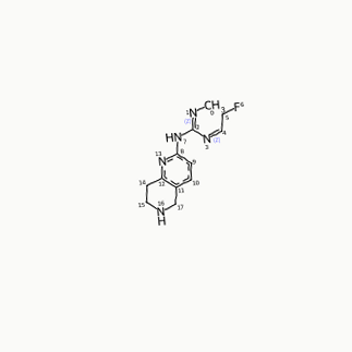 C/N=C(\N=C/CF)Nc1ccc2c(n1)CCNC2